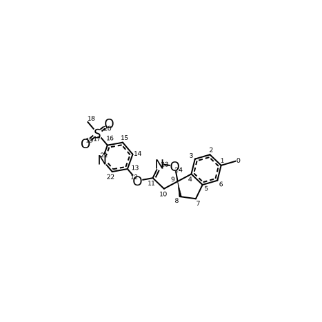 Cc1ccc2c(c1)CC[C@]21CC(Oc2ccc(S(C)(=O)=O)nc2)=NO1